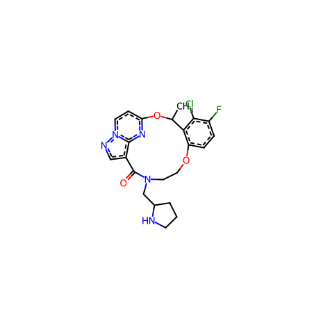 CC1Oc2ccn3ncc(c3n2)C(=O)N(CC2CCCN2)CCOc2ccc(F)c(Cl)c21